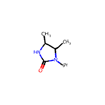 CC1NC(=O)N(C(C)C)C1C